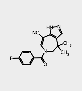 CC1(C)CN(C(=O)c2ccc(F)cc2)C=C(C#N)c2[nH]ncc21